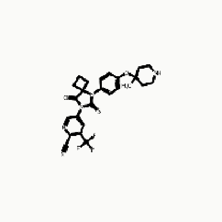 CC1(Oc2ccc(N3C(=S)N(c4cnc(C#N)c(C(F)(F)F)c4)C(=O)C34CCC4)cc2)CCNCC1